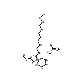 CC(=O)[O-].CCCCCCCCCCCC[N+]1(CCCC)CCCCC1